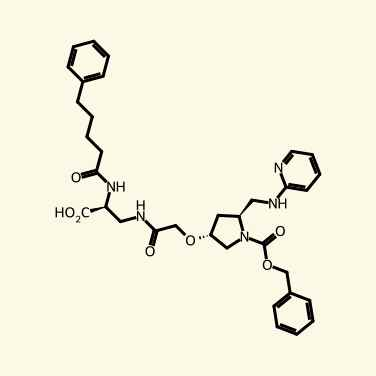 O=C(CO[C@@H]1C[C@@H](CNc2ccccn2)N(C(=O)OCc2ccccc2)C1)NC[C@H](NC(=O)CCCCc1ccccc1)C(=O)O